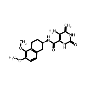 C=C1NC(=O)NC(C(=O)N[C@@H]2CCc3c(ccc(OC)c3OC)C2)=C1N